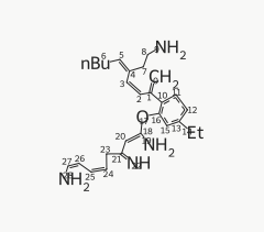 C=C(/C=C\C(=C/CCCC)CCN)c1ccc(CC)cc1O/C(N)=C/C(=N)C/C=C\C=C/N